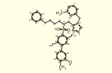 Cc1cccc(Cn2cnnc2CN(CCCCc2ccccc2)S(=O)(=O)c2cc(F)c(-c3ccc(C)c(Cl)c3)cc2F)n1